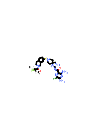 CC(C)(F)C(=O)N1CCc2ccc(SN3CCC4(CC3)CN/C(=N\C(=O)c3nc(Cl)c(N)nc3N)N4)cc2C1